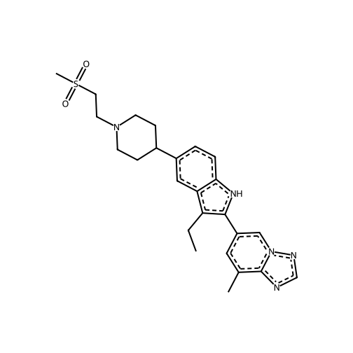 CCc1c(-c2cc(C)c3ncnn3c2)[nH]c2ccc(C3CCN(CCS(C)(=O)=O)CC3)cc12